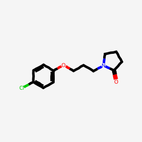 O=C1CCCN1CCCOc1ccc(Cl)cc1